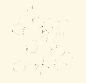 CC(C)CC(CC(=O)N(C)Cc1ccccc1)C(=O)NC(Cc1ccccc1)(NC(=O)C(CC(=O)N(C)Cc1ccccc1)CC(C)C)C(O)CCc1ccccc1